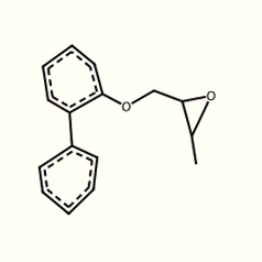 CC1OC1COc1ccccc1-c1ccccc1